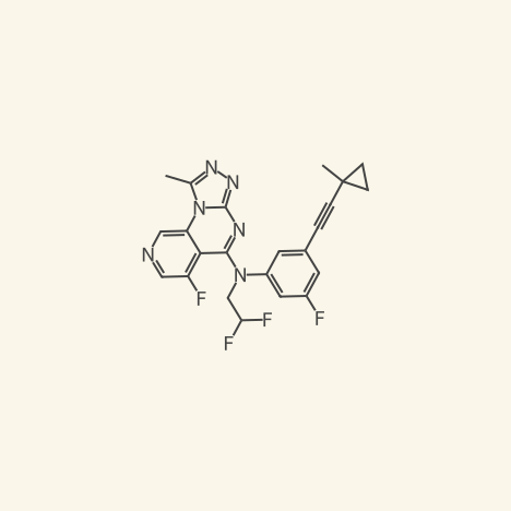 Cc1nnc2nc(N(CC(F)F)c3cc(F)cc(C#CC4(C)CC4)c3)c3c(F)cncc3n12